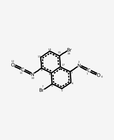 O=C=Nc1ccc(Br)c2c(N=C=O)ccc(Br)c12